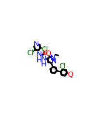 CCn1nc(-c2cccc(-c3ccc(OC)cc3Cl)c2)cc(NC(=O)Nc2c(Cl)cncc2Cl)c1=O